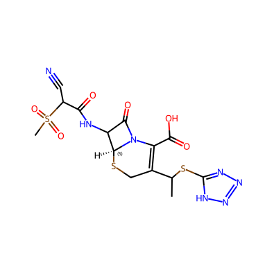 CC(Sc1nnn[nH]1)C1=C(C(=O)O)N2C(=O)C(NC(=O)C(C#N)S(C)(=O)=O)[C@@H]2SC1